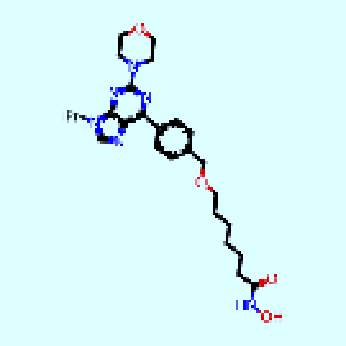 CC(C)n1cnc2c(-c3ccc(COCCCCCCC(=O)NO)cc3)nc(N3CCOCC3)nc21